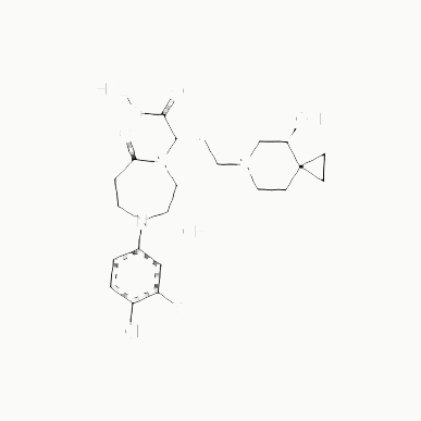 COC(=O)[C@H](CCN1CCC2(CC2)[C@H](O)C1)N1C[C@H](C)N(c2ccc(Cl)c(Cl)c2)CCC1=O